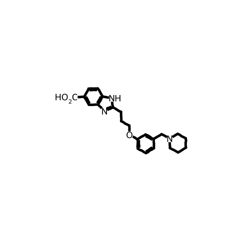 O=C(O)c1ccc2[nH]c(CCCOc3cccc(CN4CCCCC4)c3)nc2c1